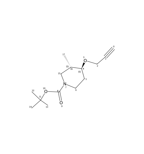 C#CCO[C@H]1CCN(C(=O)OC(C)(C)C)C[C@@H]1C